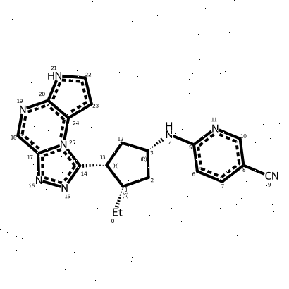 CC[C@H]1C[C@@H](Nc2ccc(C#N)cn2)C[C@H]1c1nnc2cnc3[nH]ccc3n12